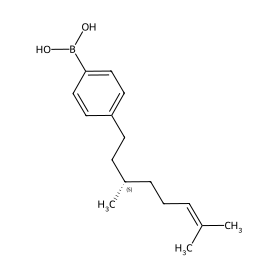 CC(C)=CCC[C@H](C)CCc1ccc(B(O)O)cc1